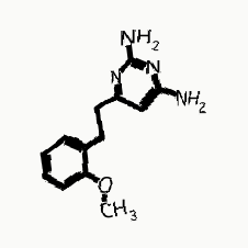 COc1ccccc1CCc1cc(N)nc(N)n1